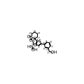 O=C(C[C@]1(c2ccc(-c3cccc(CO)c3)s2)CCCCS1(=O)=O)NO